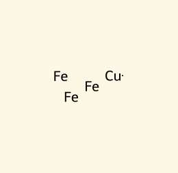 [Cu].[Fe].[Fe].[Fe]